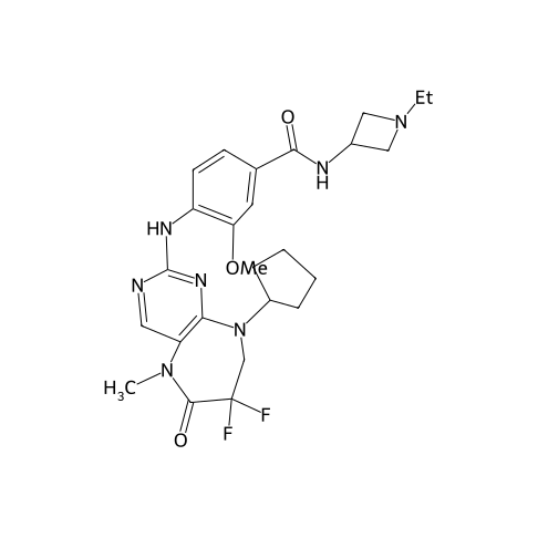 CCN1CC(NC(=O)c2ccc(Nc3ncc4c(n3)N(C3CCCC3)CC(F)(F)C(=O)N4C)c(OC)c2)C1